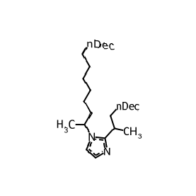 CCCCCCCCCCCCCCCCC(C)n1ccnc1C(C)CCCCCCCCCCC